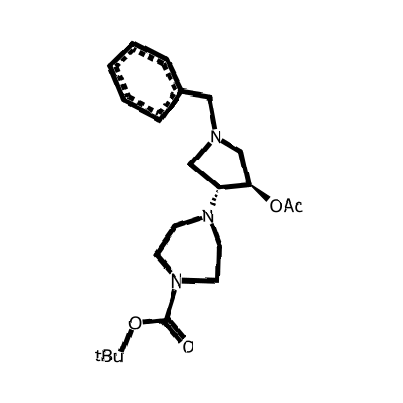 CC(=O)O[C@@H]1CN(Cc2ccccc2)C[C@H]1N1CCN(C(=O)OC(C)(C)C)CC1